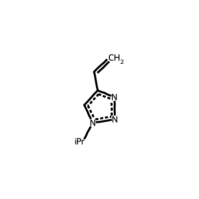 C=Cc1cn(C(C)C)nn1